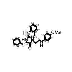 COc1ccc(NCCNC(=O)[C@H](Cc2ccccc2)NC(=O)Nc2ccccc2C)cc1